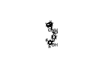 O=C(CC12CC3CC(CC(C3)C1)C2)NCC(=O)N1CCN(Cc2cc(F)cc(F)c2O)CC1